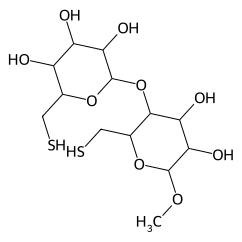 COC1OC(CS)C(OC2OC(CS)C(O)C(O)C2O)C(O)C1O